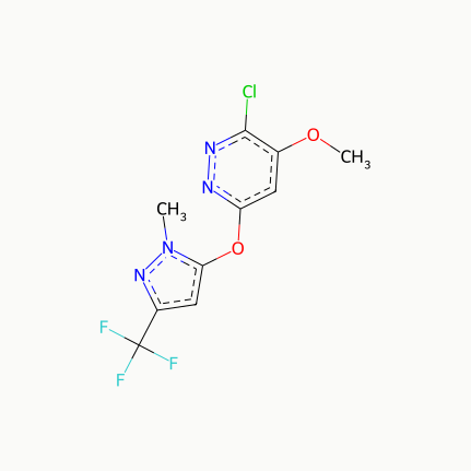 COc1cc(Oc2cc(C(F)(F)F)nn2C)nnc1Cl